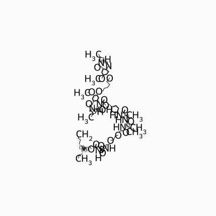 C=CCC[C@H]1[C@@H](CCC)[C@H]1COC(=O)NS(=O)(=O)NCCOCCOCC(=O)N[C@H](C(=O)N[C@@H](C)C(=O)Nc1ccc(COC(=O)N2c3cc(OCCCCCOc4cc5c(cc4OC)C(=O)N4C=C(C)C[C@H]4C=N5)c(OC)cc3C(=O)N3C=C(C)C[C@H]3[C@@H]2O)cc1)C(C)C